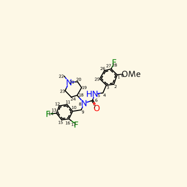 COc1cc(CNC(=O)N(Cc2ccc(F)cc2F)C2CCN(C)CC2)ccc1F